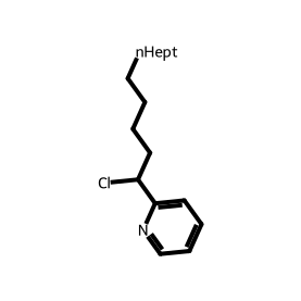 CCCCCCCCCCCC(Cl)c1ccccn1